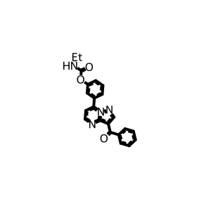 CCNC(=O)Oc1cccc(-c2ccnc3c(C(=O)c4ccccc4)cnn23)c1